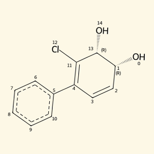 O[C@@H]1C=CC(c2ccccc2)=C(Cl)[C@@H]1O